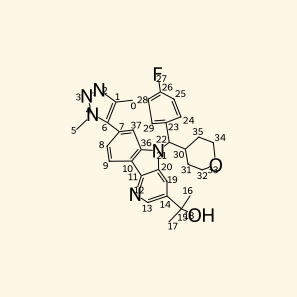 Cc1nnn(C)c1-c1ccc2c3ncc(C(C)(C)O)cc3n(C(c3ccc(F)cc3)C3CCOCC3)c2c1